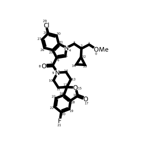 COCC(Cn1cc(C(=O)N2CCC3(CC2)OC(=O)c2cc(F)ccc23)c2ccc(Cl)cc21)C1CC1